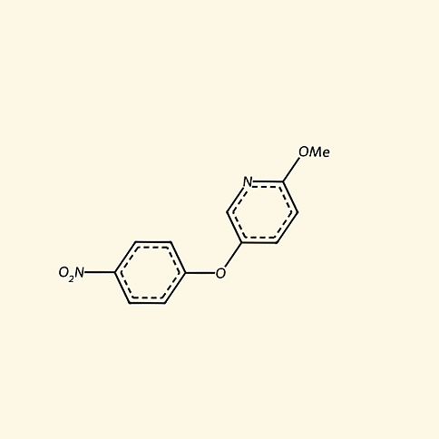 COc1ccc(Oc2ccc([N+](=O)[O-])cc2)cn1